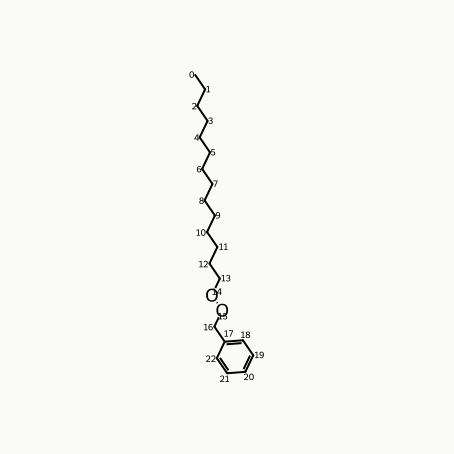 CCCCCCCCCCCCCCOOCc1ccccc1